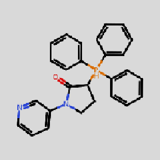 O=C1C([PH](c2ccccc2)(c2ccccc2)c2ccccc2)CCN1c1cccnc1